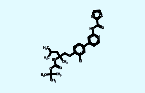 CC(C)CC(C)(COc1ccc(-c2ccnc(NC(=O)c3nccs3)c2)cc1Cl)NC(=O)OC(C)(C)C